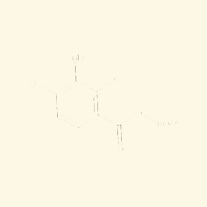 CCCCCCCCOC(=O)c1ccc(Cl)c(CCC)c1Cl